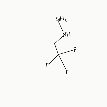 FC(F)(F)CN[SiH3]